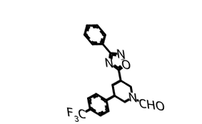 O=CN1CC(c2ccc(C(F)(F)F)cc2)CC(c2nc(-c3ccccc3)no2)C1